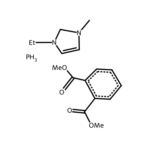 CCN1C=CN(C)C1.COC(=O)c1ccccc1C(=O)OC.P